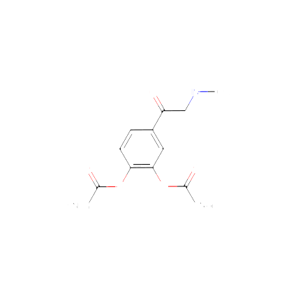 CCCCCCCCCC(=O)Oc1ccc(C(=O)CNC(C)(C)C)cc1OC(=O)CCCCCCCCC